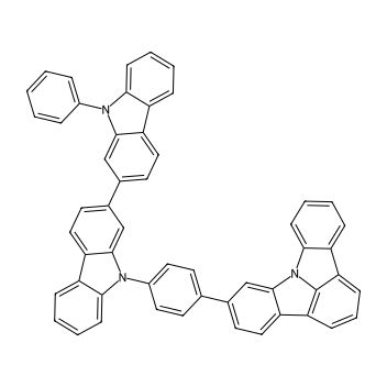 c1ccc(-n2c3ccccc3c3ccc(-c4ccc5c6ccccc6n(-c6ccc(-c7ccc8c9cccc%10c%11ccccc%11n(c8c7)c%109)cc6)c5c4)cc32)cc1